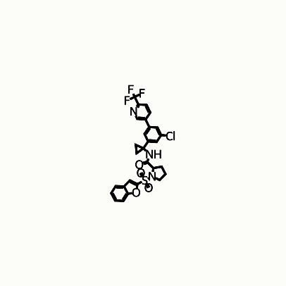 O=C(NC1(c2cc(Cl)cc(-c3ccc(C(F)(F)F)nc3)c2)CC1)C1CCCN1S(=O)(=O)c1cc2ccccc2o1